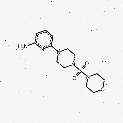 Nc1cccc(N2CCN(S(=O)(=O)N3CCOCC3)CC2)n1